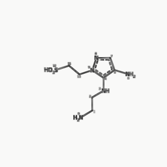 NCCNc1c(N)cnn1CCS(=O)(=O)O